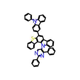 c1ccc(-c2ncc(-n3c4ccccc4c4cc(-c5ccc6c(c5)c5ccccc5n6-c5ccccc5)c5sc6ccccc6c5c43)c(-c3ccccc3)n2)cc1